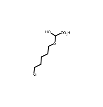 O=C(O)C(O)SCCCCCS